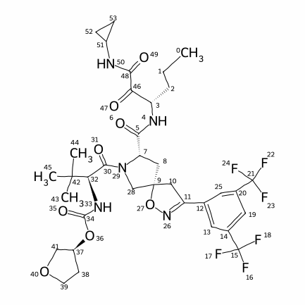 CCC[C@H](NC(=O)[C@@H]1C[C@@]2(CC(c3cc(C(F)(F)F)cc(C(F)(F)F)c3)=NO2)CN1C(=O)[C@@H](NC(=O)O[C@H]1CCOC1)C(C)(C)C)C(=O)C(=O)NC1CC1